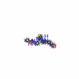 c1ccc(-c2cnc(Nc3cccc(-c4nc5sccn5c4-c4ccnc(Nc5ccc(N6CCOCC6)cc5)n4)c3)o2)cc1